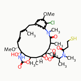 COc1cc2cc(c1Cl)N(C)C(=O)C(C)[C@H](OC(=O)[C@H](C)N(C)C(=O)CCS)[C@]1(C)O[C@H]1[C@H](C)C1C[C@@](O)(NC(=O)O1)[C@H](OC)/C=C/C=C(\C)C2